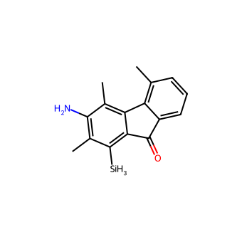 Cc1cccc2c1-c1c(C)c(N)c(C)c([SiH3])c1C2=O